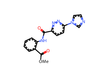 COC(=O)c1ccccc1NC(=O)c1ccc(-n2ccnc2)nn1